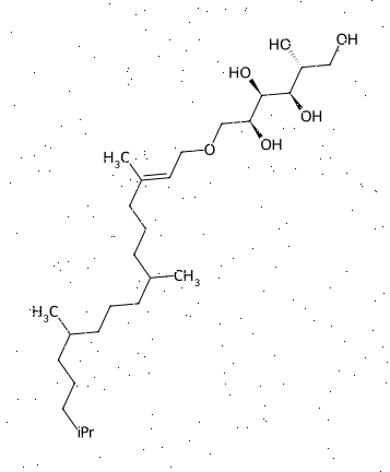 CC(=CCOC[C@H](O)[C@@H](O)[C@H](O)[C@H](O)CO)CCCC(C)CCCC(C)CCCC(C)C